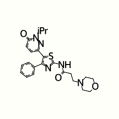 CC(C)n1nc(-c2sc(NC(=O)CCN3CCOCC3)nc2-c2ccccc2)ccc1=O